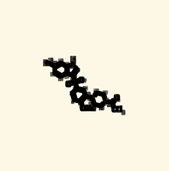 COc1ccc(S(=O)(=O)c2c[nH]c3cc(Br)ccc23)cc1N1CCN(C(=O)C(Cl)(Cl)Cl)CC1